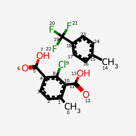 Cc1ccc(C(=O)O)c(Cl)c1C(=O)O.Cc1ccc(C(F)(F)F)cc1